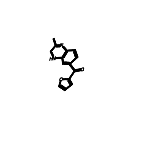 CC1=Nc2ccc(C(=O)c3ccco3)cc2NC1